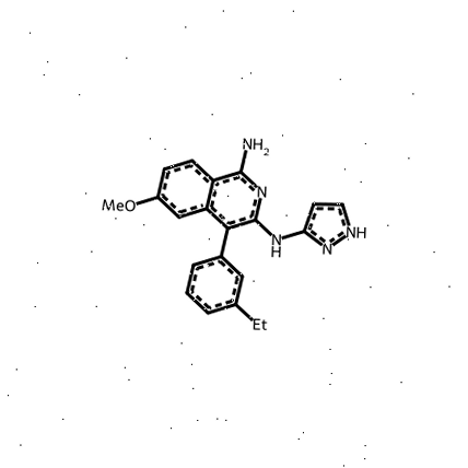 CCc1cccc(-c2c(Nc3cc[nH]n3)nc(N)c3ccc(OC)cc23)c1